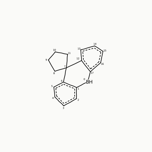 B1c2ccccc2C2(CCCC2)c2ccccc21